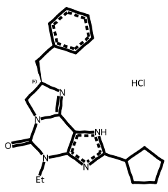 CCN1C(=O)N2C[C@@H](Cc3ccccc3)N=C2c2[nH]c(C3CCCC3)nc21.Cl